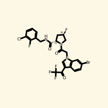 O=C(NCc1cccc(Cl)c1F)[C@@H]1C[C@@H](F)CN1C(=O)Cn1cc(C(=O)C(F)(F)F)c2ccc(Br)cc21